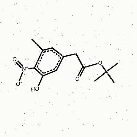 Cc1cc(CC(=O)OC(C)(C)C)cc(O)c1[N+](=O)[O-]